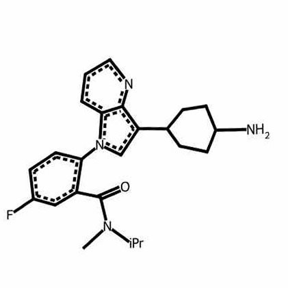 CC(C)N(C)C(=O)c1cc(F)ccc1-n1cc(C2CCC(N)CC2)c2ncccc21